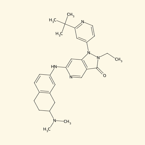 CCn1c(=O)c2cnc(Nc3ccc4c(c3)CC(N(C)C)CC4)cc2n1-c1ccnc(C(C)(C)C)c1